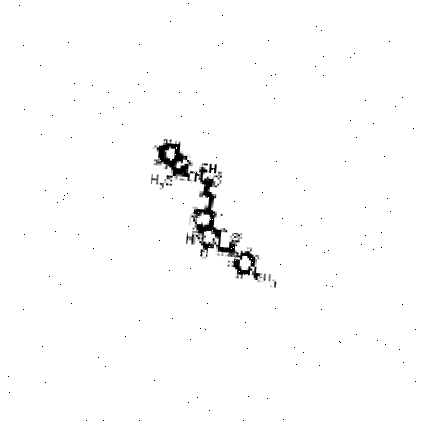 Cc1c(CN(C)C(=O)/C=C/c2cnc3c(c2)CN(CC(=O)N2CCN(C)CC2)C(=O)N3)sc2ccccc12